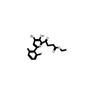 CCOC(=O)CCC(=O)c1nc(-c2c(C)cccc2F)cc(Br)c1O